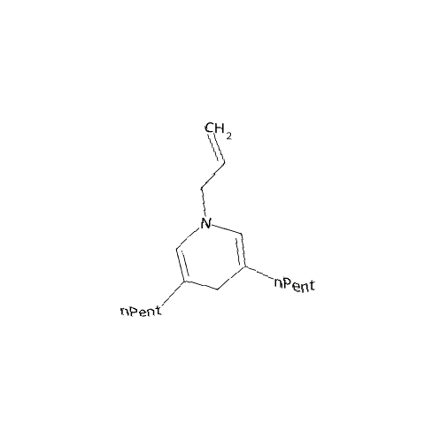 C=CCN1C=C(CCCCC)CC(CCCCC)=C1